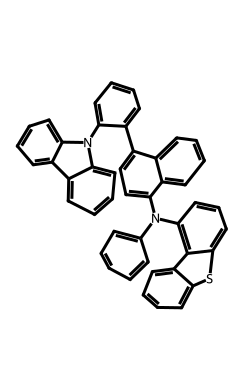 c1ccc(N(c2ccc(-c3ccccc3-n3c4ccccc4c4ccccc43)c3ccccc23)c2cccc3sc4ccccc4c23)cc1